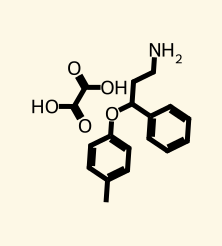 Cc1ccc(OC(CCN)c2ccccc2)cc1.O=C(O)C(=O)O